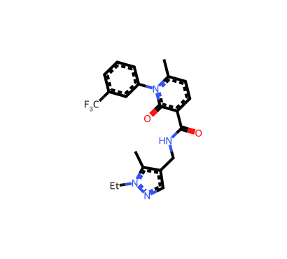 CCn1ncc(CNC(=O)c2ccc(C)n(-c3cccc(C(F)(F)F)c3)c2=O)c1C